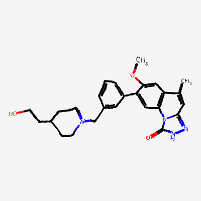 COc1cc2c(C)cc3n[nH]c(=O)n3c2cc1-c1cccc(CN2CCC(CCO)CC2)c1